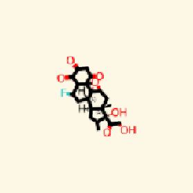 CC1C[C@H]2[C@@H]3CC(F)C4C(=O)C(=O)CC(=O)[C@]4(C)[C@]34OC4C[C@]2(C)[C@@]1(O)C(=O)CO